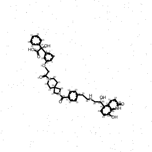 O=C(COc1cccc([C@](O)(C(=O)O)c2ccccc2)c1)N1CCC2(CC1)CN(C(=O)c1ccc(CCNC[C@H](O)c3ccc(O)c4[nH]c(=O)ccc34)cc1)C2